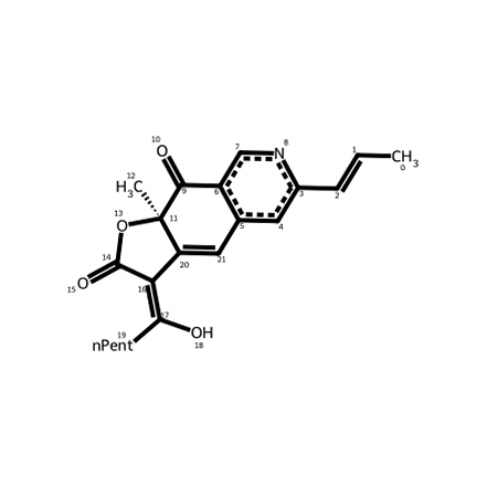 C/C=C/c1cc2c(cn1)C(=O)[C@]1(C)OC(=O)/C(=C(/O)CCCCC)C1=C2